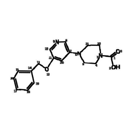 O=C(O)N1CCN(c2cncc(OCc3ccccc3)c2)CC1